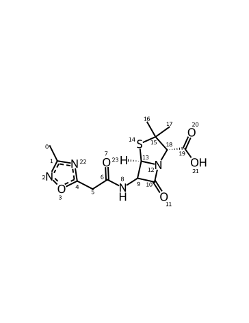 Cc1noc(CC(=O)NC2C(=O)N3[C@@H]2SC(C)(C)[C@@H]3C(=O)O)n1